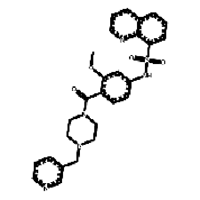 COc1cc(NS(=O)(=O)c2cccc3cccnc23)ccc1C(=O)N1CCN(Cc2cccnc2)CC1